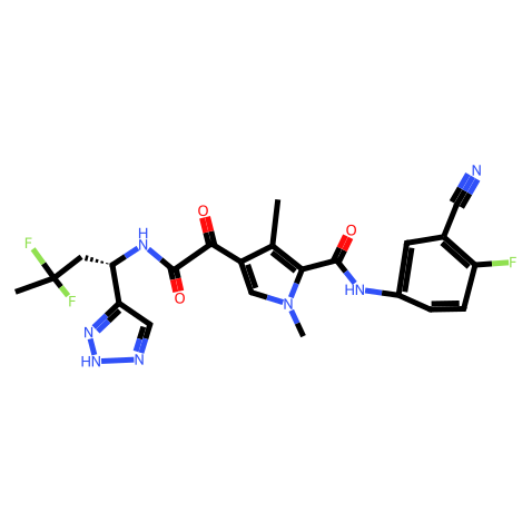 Cc1c(C(=O)C(=O)N[C@@H](CC(C)(F)F)c2cn[nH]n2)cn(C)c1C(=O)Nc1ccc(F)c(C#N)c1